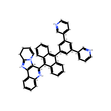 C1=Cn2c(nc3c4ccccc4nc(-c4c5ccccc5c(-c5cc(-c6cccnc6)cc(-c6cccnc6)c5)c5ccccc45)c32)CC1